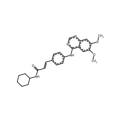 COc1cc2ncnc(Nc3ccc(/C=C/C(=O)NC4CCCCC4)cc3)c2cc1OC